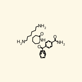 NC(=O)c1ccc(C(=O)n2c3ccc2cc3)cc1.NCCCCCCN.O=C1CCCCCN1